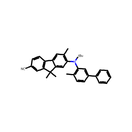 Cc1ccc(-c2ccccc2)cc1N(c1cc2c(cc1C)-c1ccc(C#N)cc1C2(C)C)C(C)(C)C